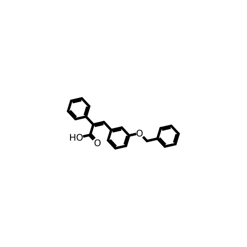 O=C(O)/C(=C\c1cccc(OCc2ccccc2)c1)c1ccccc1